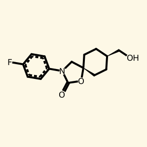 O=C1O[C@]2(CC[C@H](CO)CC2)CN1c1ccc(F)cc1